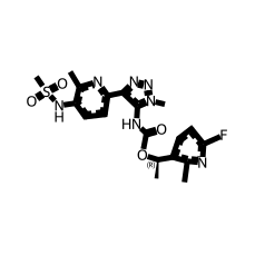 Cc1nc(-c2nnn(C)c2NC(=O)O[C@H](C)c2ccc(F)nc2C)ccc1NS(C)(=O)=O